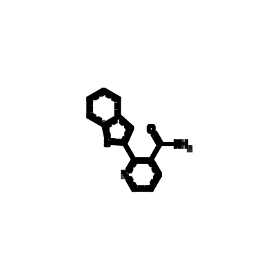 NC(=O)c1cccnc1-c1cc2ccccc2s1